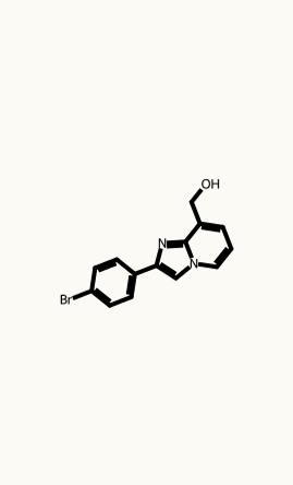 OCc1cccn2cc(-c3ccc(Br)cc3)nc12